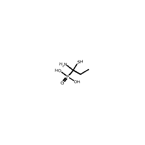 CCC(N)(S)P(=O)(O)O